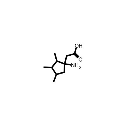 CC1CC(N)(CC(=O)O)C(C)C1C